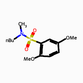 CCCCN(C)S(=O)(=O)c1cc(OC)ccc1OC